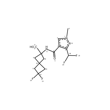 Cn1cc(C(=O)NC2(C(=O)O)CC3(CC(F)(F)C3)C2)c(C(F)F)n1